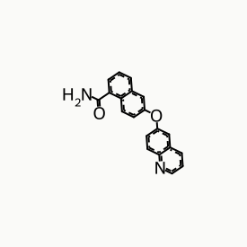 NC(=O)c1cccc2cc(Oc3ccc4ncccc4c3)ccc12